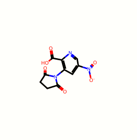 O=C(O)c1ncc([N+](=O)[O-])cc1N1C(=O)CCC1=O